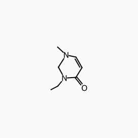 CCN1CN(C)C=CC1=O